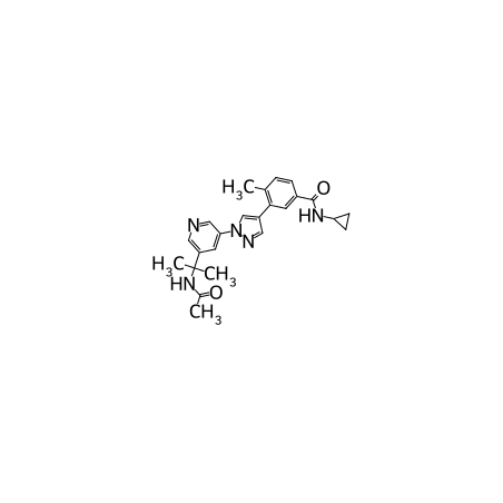 CC(=O)NC(C)(C)c1cncc(-n2cc(-c3cc(C(=O)NC4CC4)ccc3C)cn2)c1